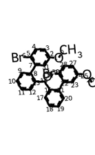 COc1ccc(Br)c(-c2ccccc2C(=O)c2ccccc2-c2cc(OC)ccc2Br)c1